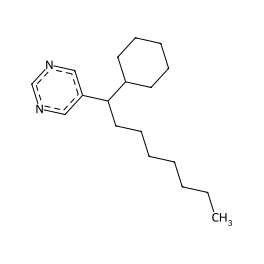 CCCCCCCC(c1cncnc1)C1CCCCC1